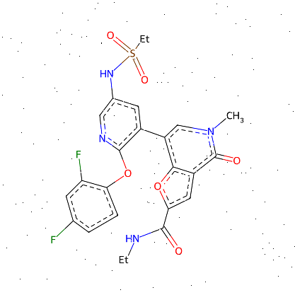 CCNC(=O)c1cc2c(=O)n(C)cc(-c3cc(NS(=O)(=O)CC)cnc3Oc3ccc(F)cc3F)c2o1